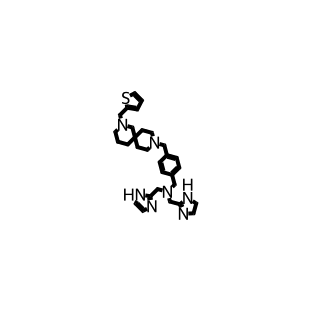 c1csc(CN2CCCC3(CCN(Cc4ccc(CN(CC5=NCCN5)Cc5ncc[nH]5)cc4)CC3)C2)c1